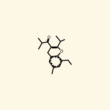 CCc1cc(C)cc2c1OC(C(C)C)=C(C(=O)C(C)C)C2